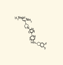 NN/C=C(\N)C1CCN(c2nnc(-c3cnc(NC4Cc5cc(F)c(F)cc5C4)cn3)o2)C1